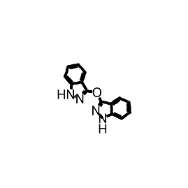 c1ccc2c(Oc3n[nH]c4ccccc34)n[nH]c2c1